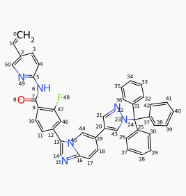 C=Cc1ccc(NC(=O)c2ccc(-c3cnc4ccc(-c5cnn(C(c6ccccc6)(c6ccccc6)c6ccccc6)c5)cn34)cc2F)nc1